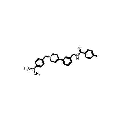 CN(C)c1ccc(CN2CC=C(c3cccc(CNC(=O)c4ccc(F)cc4)c3)CC2)cc1